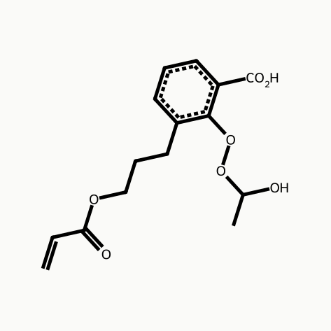 C=CC(=O)OCCCc1cccc(C(=O)O)c1OOC(C)O